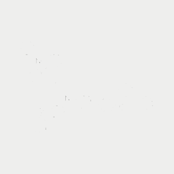 c1ccc(-c2cccc3c2oc2ccc(-c4ccc(N(c5ccc(-c6cccc7c6c6ccccc6n7-c6ccccc6)cc5)c5ccc6c(c5)sc5ccccc56)cc4)cc23)cc1